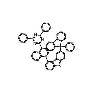 c1ccc(-c2nc(-c3ccccc3)nc(-c3ccc(-c4cccc5sc6ccc(C7(c8ccccc8)c8ccccc8-c8ccccc87)cc6c45)c4ccccc34)n2)cc1